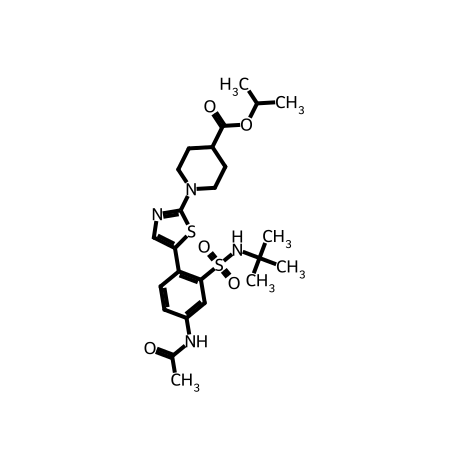 CC(=O)Nc1ccc(-c2cnc(N3CCC(C(=O)OC(C)C)CC3)s2)c(S(=O)(=O)NC(C)(C)C)c1